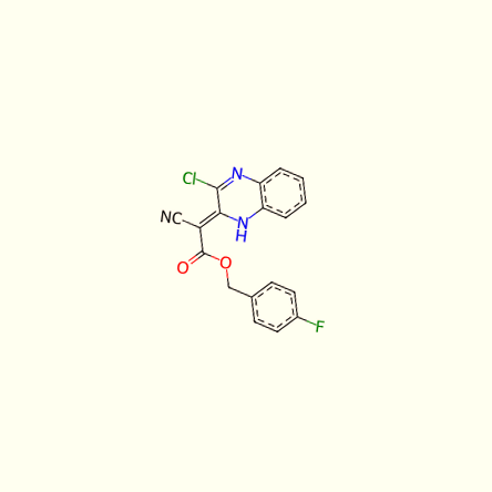 N#CC(C(=O)OCc1ccc(F)cc1)=C1Nc2ccccc2N=C1Cl